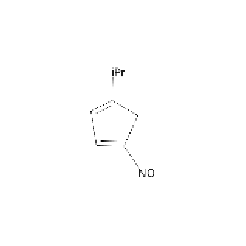 CC(C)C1=CC=C(N=O)C1